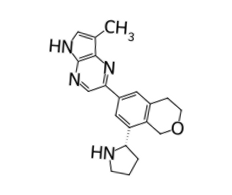 Cc1c[nH]c2ncc(-c3cc4c(c([C@@H]5CCCN5)c3)COCC4)nc12